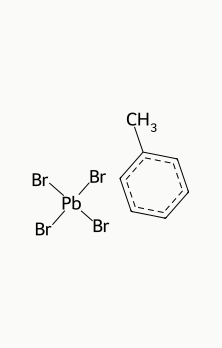 Cc1ccccc1.[Br][Pb]([Br])([Br])[Br]